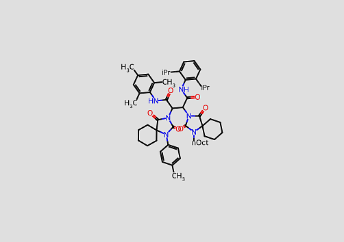 CCCCCCCCN1C(=O)N(C(C(=O)Nc2c(C(C)C)cccc2C(C)C)C(C(=O)Nc2c(C)cc(C)cc2C)N2C(=O)N(c3ccc(C)cc3)C3(CCCCC3)C2=O)C(=O)C12CCCCC2